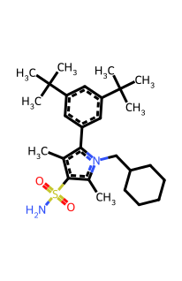 Cc1c(S(N)(=O)=O)c(C)n(CC2CCCCC2)c1-c1cc(C(C)(C)C)cc(C(C)(C)C)c1